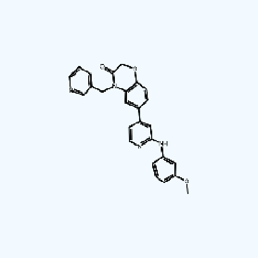 COc1cccc(Nc2cc(-c3ccc4c(c3)N(Cc3cccnc3)C(=O)CO4)ccn2)c1